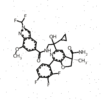 COc1cc(C(=O)NCC(O)(c2cc3c(c(-c4ccc(F)c(F)c4F)n2)OC[C@]3(C)C(N)=O)C2CC2)cc2cn(C(F)F)nc12